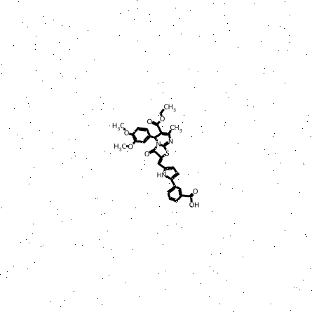 CCOC(=O)C1=C(C)N=c2s/c(=C\c3ccc(-c4cccc(C(=O)O)c4)[nH]3)c(=O)n2C1c1ccc(OC)c(OC)c1